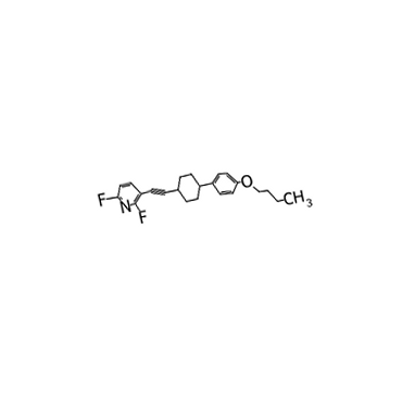 CCCCOc1ccc(C2CCC(C#Cc3ccc(F)nc3F)CC2)cc1